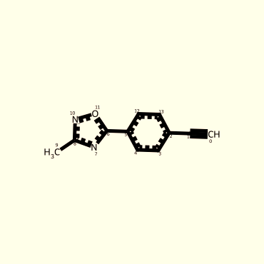 C#Cc1ccc(-c2nc(C)no2)cc1